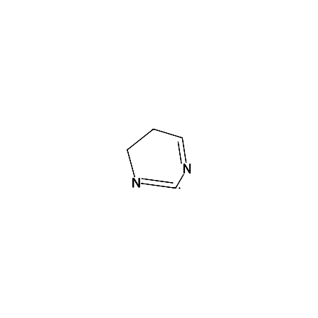 [C]1=NCCC=N1